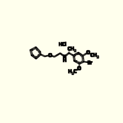 COc1cc([C@@H](C)NCCOCc2ccccc2)cc(OC)c1Br.Cl